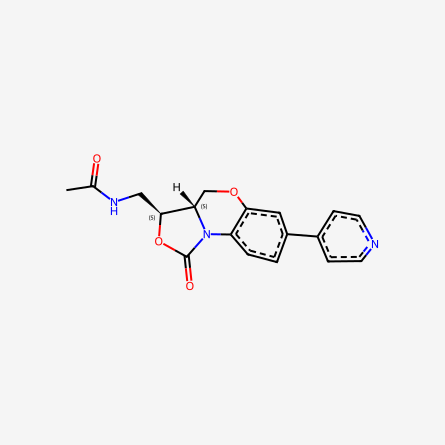 CC(=O)NC[C@@H]1OC(=O)N2c3ccc(-c4ccncc4)cc3OC[C@@H]12